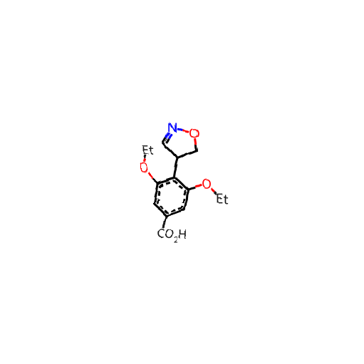 CCOc1cc(C(=O)O)cc(OCC)c1C1C=NOC1